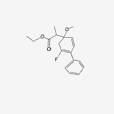 CCOC(=O)C(C)C1(OC)C=CC(c2ccccc2)=C(F)C1